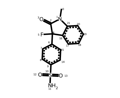 CN1C(=O)C(F)(c2ccc(S(N)(=O)=O)cc2)c2ccccc21